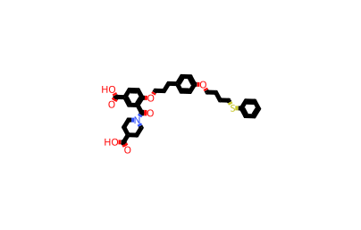 O=C(O)c1ccc(OCCCc2ccc(OCCCCSc3ccccc3)cc2)c(C(=O)N2CCC(C(=O)O)CC2)c1